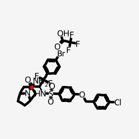 NC1CC2CCC(C1)N2C(=O)[C@H](NS(=O)(=O)c1ccc(OCc2ccc(Cl)cc2)cc1)C(F)(F)c1ccc(Br)cc1.O=C(O)C(F)(F)F